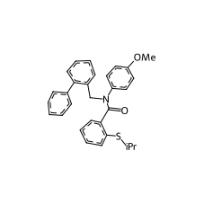 COc1ccc(N(Cc2ccccc2-c2ccccc2)C(=O)c2ccccc2SC(C)C)cc1